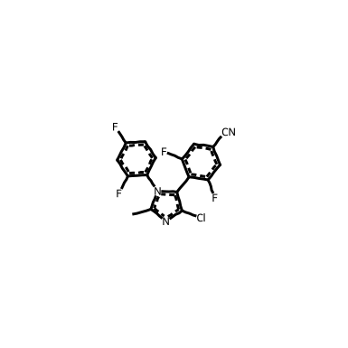 Cc1nc(Cl)c(-c2c(F)cc(C#N)cc2F)n1-c1ccc(F)cc1F